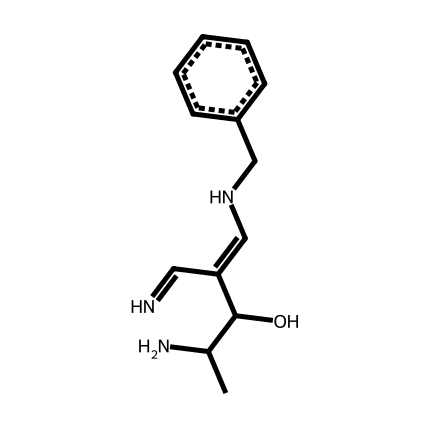 CC(N)C(O)/C(C=N)=C/NCc1ccccc1